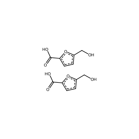 O=C(O)c1ccc(CO)o1.O=C(O)c1ccc(CO)o1